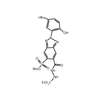 CCCCc1ccc(O)c(-n2nc3cc(C(=O)NNC(=O)OCC)c(S(=O)(=O)OC)cc3n2)c1